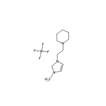 CN1C=CN(CCN2CCCCC2)C1.F[B-](F)(F)F